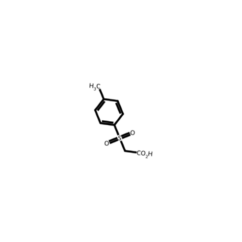 Cc1ccc(S(=O)(=O)CC(=O)O)cc1